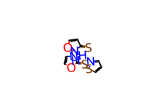 S=c1[nH]cco1.S=c1cco[nH]1.c1cnsc1